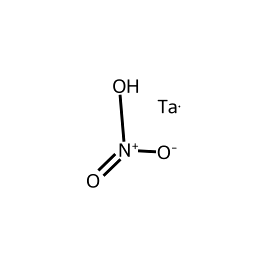 O=[N+]([O-])O.[Ta]